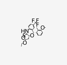 CCOC(=O)C[C@@H]1O[C@@H](c2cccc(OC)c2C)c2cc(C(F)(F)F)ccc2NC1=S